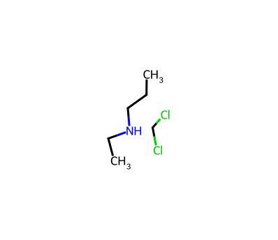 CCCNCC.ClCCl